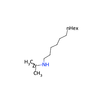 CCCCCCCCCCCC[NH][Zr]([CH3])[CH3]